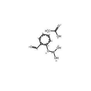 CC(=O)O.O=Cc1ccccc1OB(O)O